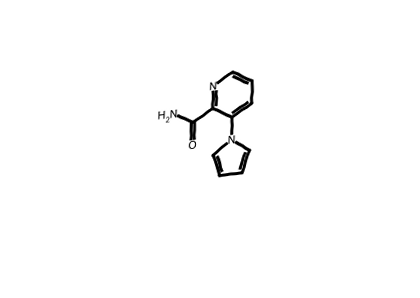 NC(=O)c1ncccc1-n1cccc1